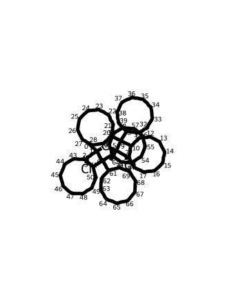 CC(CCl)(OC(C)(CCl)C(C1CCCCCCCCC1)(C1CCCCCCCCC1)C1CCCCCCCCC1)C(C1CCCCCCCCC1)(C1CCCCCCCCC1)C1CCCCCCCCC1